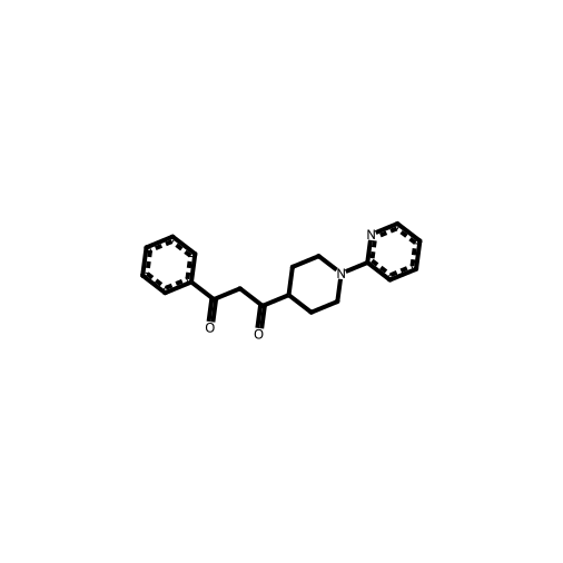 O=C(CC(=O)C1CCN(c2ccccn2)CC1)c1ccccc1